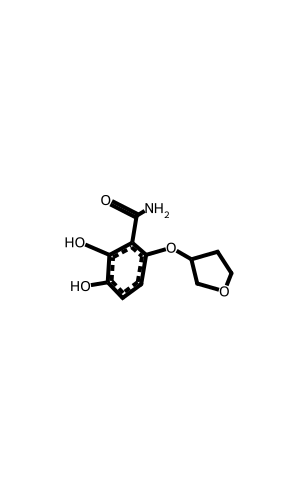 NC(=O)c1c(OC2CCOC2)ccc(O)c1O